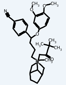 COc1ccc(OC(CCCN(C)C2C3CCC2CN(CC(=O)C(C)(C)C)C3)c2ccc(C#N)cc2)cc1OC